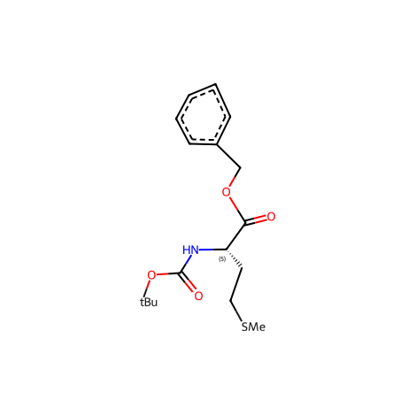 CSCC[C@H](NC(=O)OC(C)(C)C)C(=O)OCc1ccccc1